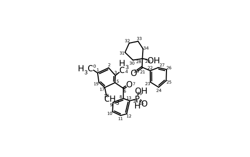 Cc1cc(C)c(C(=O)c2ccccc2[PH](=O)O)c(C)c1.O=C(c1ccccc1)C1(O)CCCCC1